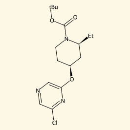 CC[C@H]1C[C@@H](Oc2cncc(Cl)n2)CCN1C(=O)OC(C)(C)C